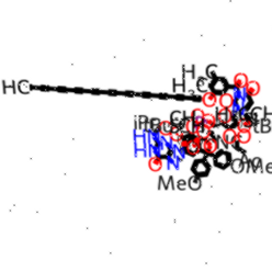 [C-]#[N+]CCOP(=O)(OC[C@H]1O[C@@H](n2ccc(=O)n(C(=O)c3cc(C)c(C)c(OC#CC#CC#CC#CC#CC#CC#CC#CC#CC#CC#C)c3)c2=O)[C@@H](O[Si](C)(C)C(C)(C)C)C1OC(=O)CCC(C)=O)OC1[C@@H](COC(c2ccccc2)(c2ccc(OC)cc2)c2ccc(OC)cc2)O[C@@H](n2cnc3c(=O)[nH]c(NC(=O)C(C)C)nc32)[C@H]1O[Si](C)(C)C(C)(C)C